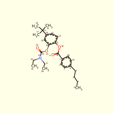 CCCCc1ccc(C(=O)Oc2ccc(C(C)(C)C)cc2OC(=O)N(CC)CC)cc1